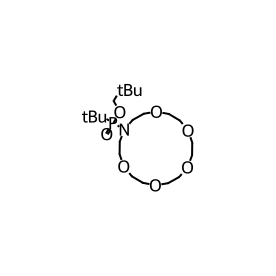 CC(C)(C)COP(=O)(N1CCOCCOCCOCCOCCOCC1)C(C)(C)C